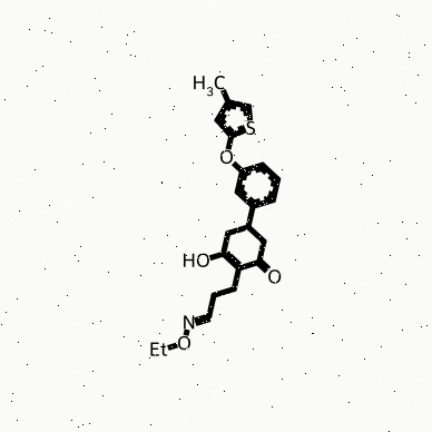 CCON=CCCC1=C(O)CC(c2cccc(Oc3cc(C)cs3)c2)CC1=O